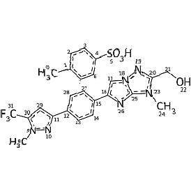 Cc1ccc(S(=O)(=O)O)cc1.Cn1nc(-c2ccc(-c3cn4nc(CO)n(C)c4n3)cc2)cc1C(F)(F)F